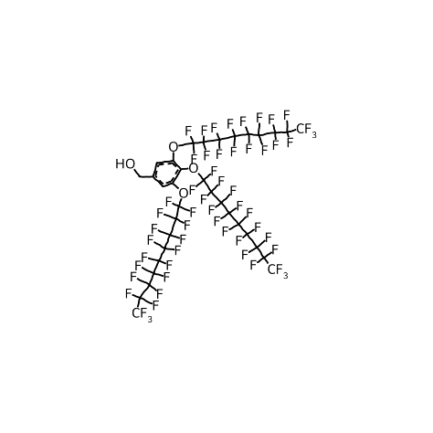 OCc1cc(OC(F)(F)C(F)(F)C(F)(F)C(F)(F)C(F)(F)C(F)(F)C(F)(F)C(F)(F)C(F)(F)F)c(OC(F)(F)C(F)(F)C(F)(F)C(F)(F)C(F)(F)C(F)(F)C(F)(F)C(F)(F)C(F)(F)F)c(OC(F)(F)C(F)(F)C(F)(F)C(F)(F)C(F)(F)C(F)(F)C(F)(F)C(F)(F)C(F)(F)F)c1